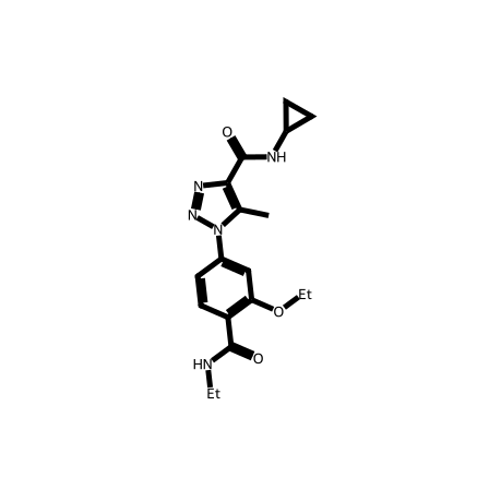 CCNC(=O)c1ccc(-n2nnc(C(=O)NC3CC3)c2C)cc1OCC